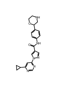 O=C(Nc1ccc(C2CNCCO2)cc1)c1cnn(-c2cc(C3CC3)ncn2)c1